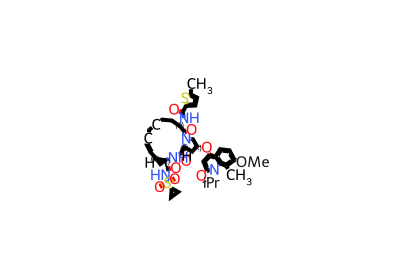 COc1ccc2c(O[C@@H]3C[C@H]4C(=O)N[C@]5(C(=O)NS(=O)(=O)C6CC6)C[C@H]5C=CCCCCC[C@H](NC(=O)c5ccc(C)s5)C(=O)N4C3)cc(OC(C)C)nc2c1C